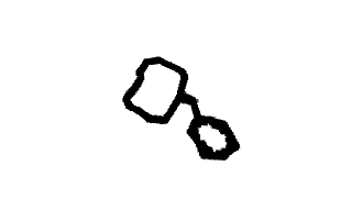 [CH](c1ccccc1)C1CCCCCCC1